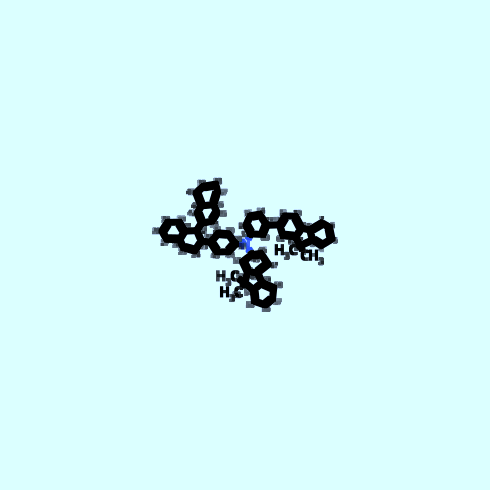 CC1(C)c2ccccc2-c2ccc(-c3cccc(N(c4ccc(C5C=Cc6ccccc6C5c5ccc6ccccc6c5)cc4)c4ccc5c(c4)C(C)(C)c4ccccc4-5)c3)cc21